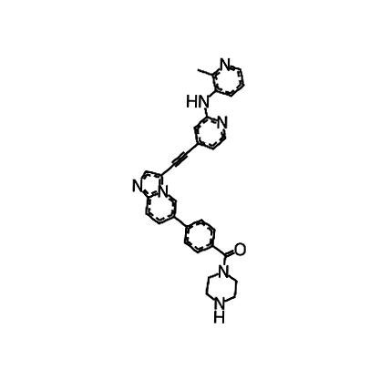 Cc1ncccc1Nc1cc(C#Cc2cnc3ccc(-c4ccc(C(=O)N5CCNCC5)cc4)cn23)ccn1